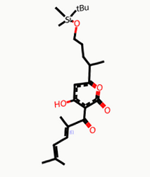 CC(C)=C/C=C(\C)C(=O)c1c(O)cc(C(C)CCCO[Si](C)(C)C(C)(C)C)oc1=O